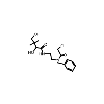 CC(C)(CO)C(O)C(=O)NCCN(Cc1ccccc1)C(=O)CCl